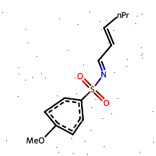 CCCC=CC=NS(=O)(=O)c1ccc(OC)cc1